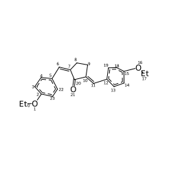 CCOc1ccc(/C=C2/CC/C(=C\c3ccc(OCC)cc3)C2=O)cc1